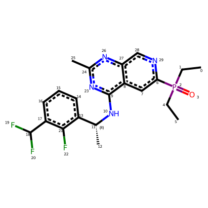 CCP(=O)(CC)c1cc2c(N[C@H](C)c3cccc(C(F)F)c3F)nc(C)nc2cn1